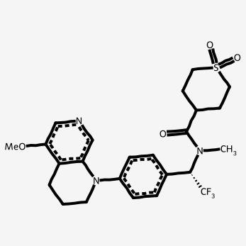 COc1cncc2c1CCCN2c1ccc([C@H](N(C)C(=O)C2CCS(=O)(=O)CC2)C(F)(F)F)cc1